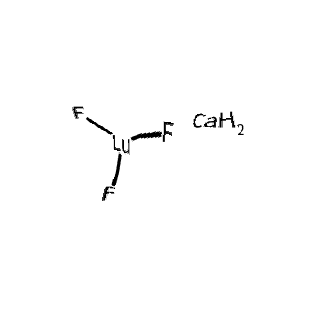 [CaH2].[F][Lu]([F])[F]